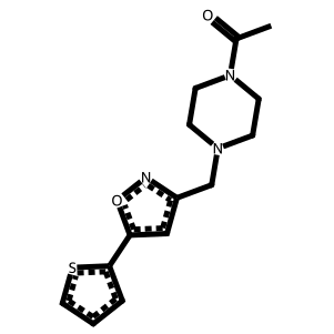 CC(=O)N1CCN(Cc2cc(-c3cccs3)on2)CC1